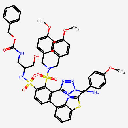 COc1ccc(CN(Cc2ccc(OC)cc2)S(=O)(=O)c2c(S(=O)(=O)NC(CO)CNC(=O)OCc3ccccc3)ccc(-c3cccc4sc(CN)nc34)c2-c2nnn(Cc3ccc(OC)cc3)n2)cc1